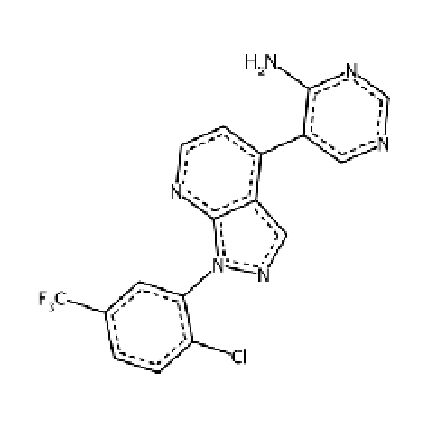 Nc1ncncc1-c1ccnc2c1cnn2-c1cc(C(F)(F)F)ccc1Cl